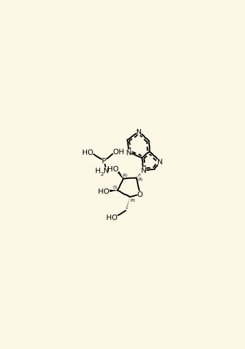 NP(O)O.OC[C@H]1O[C@@H](n2cnc3cncnc32)[C@H](O)[C@@H]1O